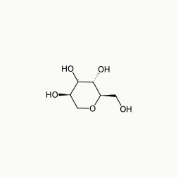 OC[C@H]1OC[C@@H](O)[C](O)[C@@H]1O